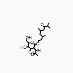 CC(=O)N[C@H]1C(O)[C@@H](O)C(CO)O[C@H]1OCCC(C)CC(C)CC(=O)C(C)C